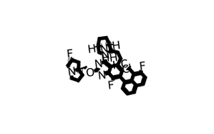 C#Cc1c(F)ccc2cccc(-c3c(Cl)c4c5c(nc(OC[C@@]67CCCN6C[C@H](F)C7)nc5c3F)N3C[C@H]5CC[C@H](N5)[C@H]3CC4)c12